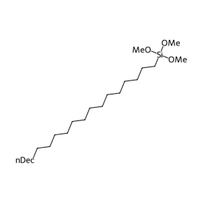 CCCCCCCCCCCCCCCCCCCCCCCC[Si](OC)(OC)OC